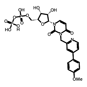 COc1ccc(-c2ccnc(Cn3c(=O)ccn([C@@H]4O[C@H](COP(=O)(O)OP(=O)(O)O)[C@H](O)[C@@H]4O)c3=O)c2)cc1